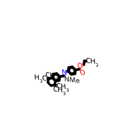 C=CCOC(=O)c1ccc(N=C(NC)c2ccc3c(c2)C(C)(C)CCC3(C)C)cc1